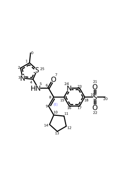 Cc1cnc(NC(=O)/C(=C/C2CCCC2)c2ccc(S(C)(=O)=O)cn2)s1